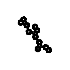 c1cc(-c2ccc3c(c2)-c2cccc4cccc-3c24)cc(-n2c3ccc(-c4ccc5c(c4)c4ccccc4n5-c4ccc5ccccc5c4)cc3c3ccc4ccccc4c32)c1